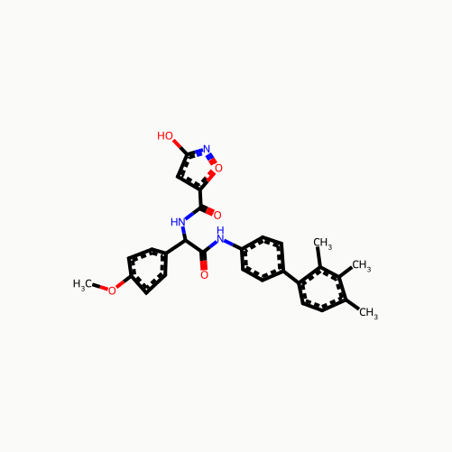 COc1ccc(C(NC(=O)c2cc(O)no2)C(=O)Nc2ccc(-c3ccc(C)c(C)c3C)cc2)cc1